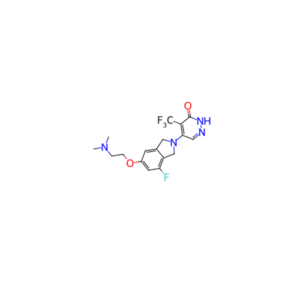 CN(C)CCOc1cc(F)c2c(c1)CN(c1cn[nH]c(=O)c1C(F)(F)F)C2